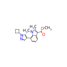 COC(=O)c1c(C)n(C)c2c(-c3cnn(C4CCC4)c3)cccc12